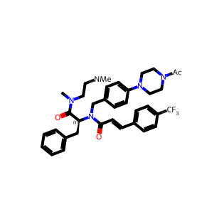 CNCCN(C)C(=O)[C@H](Cc1ccccc1)N(Cc1ccc(N2CCN(C(C)=O)CC2)cc1)C(=O)C=Cc1ccc(C(F)(F)F)cc1